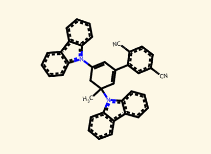 CC1(n2c3ccccc3c3ccccc32)C=C(c2cc(C#N)ccc2C#N)C=C(n2c3ccccc3c3ccccc32)C1